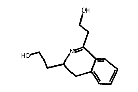 OCCC1=NC(CCO)Cc2ccccc21